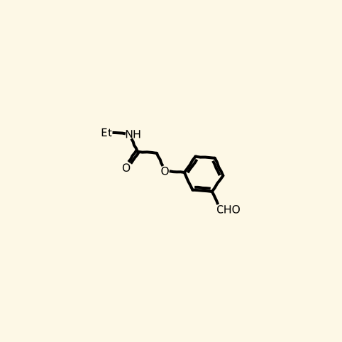 CCNC(=O)COc1cccc(C=O)c1